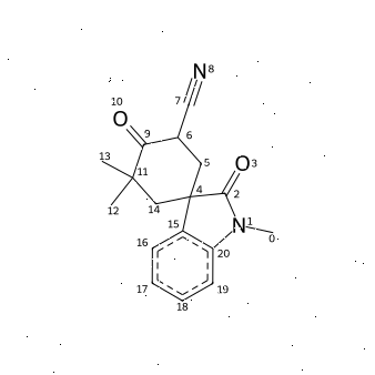 CN1C(=O)C2(CC(C#N)C(=O)C(C)(C)C2)c2ccccc21